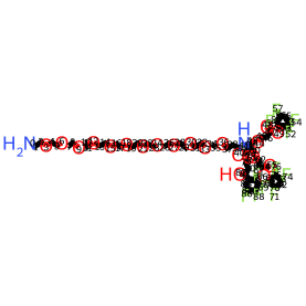 NCCOCCOCCOCCOCCOCCOCCOCCOCCOCCOCCOCCOCCC(=O)NC(COCCC(=O)Oc1c(F)c(F)cc(F)c1F)(COCCC(=O)Oc1c(F)c(F)cc(F)c1F)COCCC(O)C1CC(F)C(F)CC1F